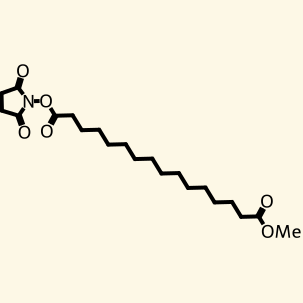 COC(=O)CCCCCCCCCCCCCCC(=O)ON1C(=O)CCC1=O